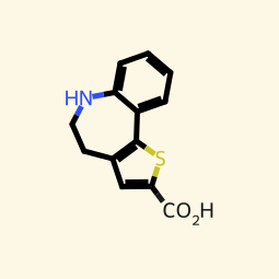 O=C(O)c1cc2c(s1)-c1ccccc1NCC2